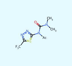 CC(=O)N(C(=O)N(C)C)c1nnc(C(F)(F)F)s1